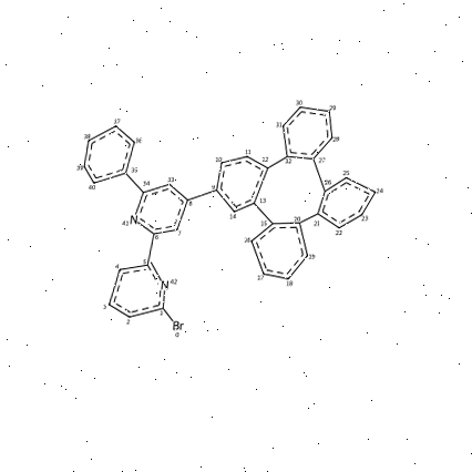 Brc1cccc(-c2cc(-c3ccc4c(c3)-c3ccccc3-c3ccccc3-c3ccccc3-4)cc(-c3ccccc3)n2)n1